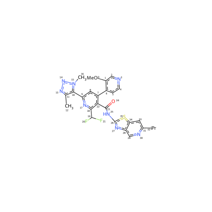 COc1cnccc1-c1cc(-c2c(C)nnn2C)nc(C(F)F)c1C(=O)Nc1nc2cnc(C(C)C)cc2s1